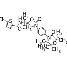 CC1(C)OC(C)(C)C(C)(C)N(c2ccc(N3C[C@H](C(C)(C)NC(=O)c4ccc(Cl)s4)OC3=O)cc2)C1=O